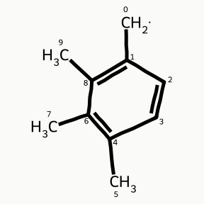 [CH2]c1ccc(C)c(C)c1C